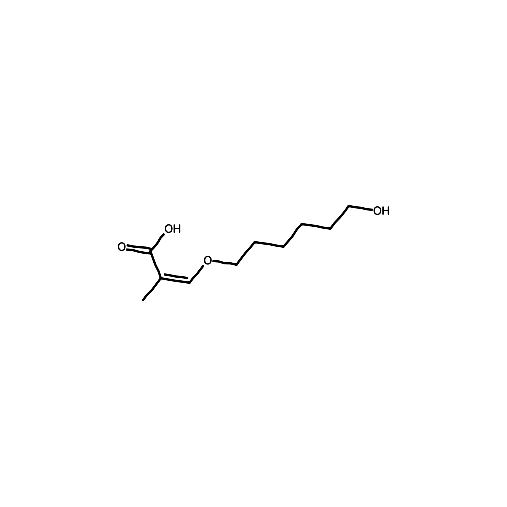 CC(=COCCCCCCO)C(=O)O